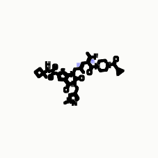 C/C(F)=C(\C=C(/C)Cn1c(=O)n(Cc2cnn(C)c2)c(=O)c2cc(S(=O)(=O)NC3(C)CCC3)sc21)C(=O)N1CCN(C(=O)C2CC2)CC1